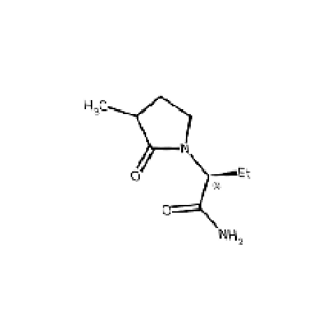 CC[C@@H](C(N)=O)N1CCC(C)C1=O